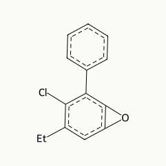 CCc1cc2c(c(-c3ccccc3)c1Cl)O2